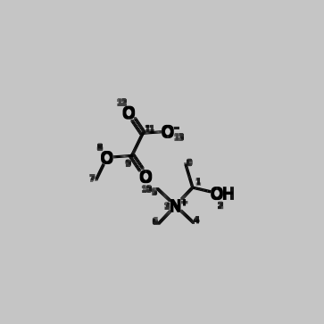 CC(O)[N+](C)(C)C.COC(=O)C(=O)[O-]